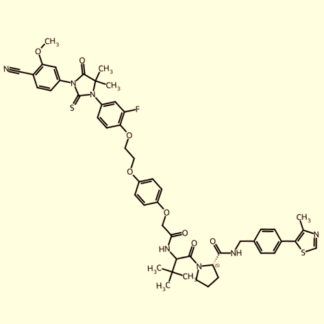 COc1cc(N2C(=O)C(C)(C)N(c3ccc(OCCOc4ccc(OCC(=O)NC(C(=O)N5CCC[C@H]5C(=O)NCc5ccc(-c6scnc6C)cc5)C(C)(C)C)cc4)c(F)c3)C2=S)ccc1C#N